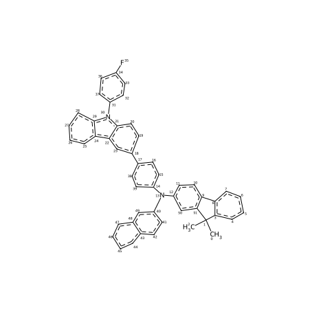 CC1(C)c2ccccc2-c2ccc(N(c3ccc(-c4ccc5c(c4)c4ccccc4n5-c4ccc(F)cc4)cc3)c3ccc4ccccc4c3)cc21